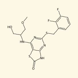 COCC(CO)Nc1nc(SCc2cccc(F)c2F)nc2[nH]c(=O)sc12